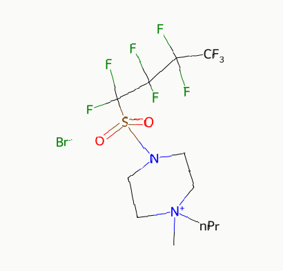 CCC[N+]1(C)CCN(S(=O)(=O)C(F)(F)C(F)(F)C(F)(F)C(F)(F)F)CC1.[Br-]